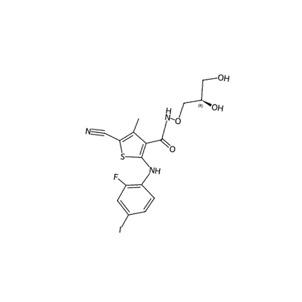 Cc1c(C#N)sc(Nc2ccc(I)cc2F)c1C(=O)NOC[C@H](O)CO